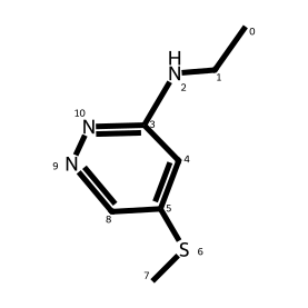 CCNc1cc(SC)cnn1